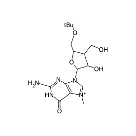 C[n+]1cn(C2OC(COC(C)(C)C)C(CO)C2O)c2nc(N)[nH]c(=O)c21